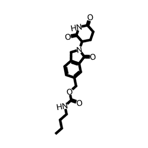 CCCCNC(=O)OCc1ccc2c(c1)C(=O)N(C1CCC(=O)NC1=O)C2